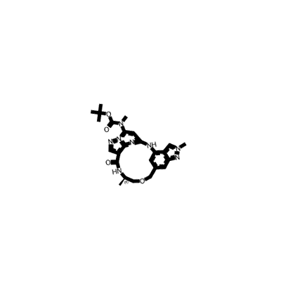 C[C@@H]1COCc2cc(c3cn(C)nc3c2)Nc2cc(N(C)C(=O)OC(C)(C)C)n3ncc(c3n2)C(=O)N1